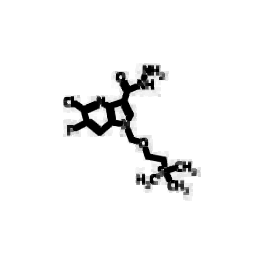 C[Si](C)(C)CCOCn1cc(C(=O)NN)c2nc(Cl)c(F)cc21